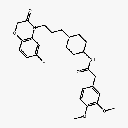 COc1ccc(CC(=O)NC2CCN(CCCN3C(=O)COc4ccc(F)cc43)CC2)cc1OC